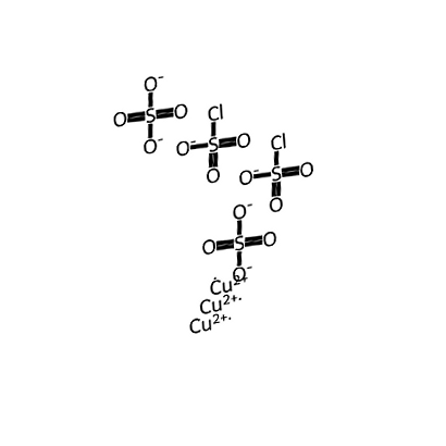 O=S(=O)([O-])Cl.O=S(=O)([O-])Cl.O=S(=O)([O-])[O-].O=S(=O)([O-])[O-].[Cu+2].[Cu+2].[Cu+2]